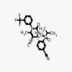 [C-]#[N+]C1=C(C)N(c2cccc(C(F)(F)F)c2)C(=O)N[C@@H]1c1ccc(C#N)cc1S(=O)(=O)C(C)C